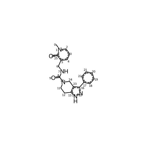 Cn1cccc(CNC(=O)N2CCc3[nH]nc(-c4ccccc4)c3C2)c1=O